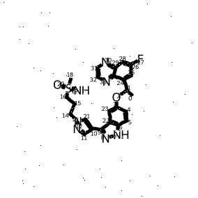 CC(Oc1ccc2[nH]nc(-c3cnn(CCCS(C)(=N)=O)c3)c2c1)c1cc(F)cc2nccnc12